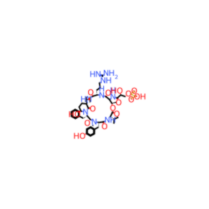 CC(C)[C@@H]1NC(=O)[C@H](Cc2ccc(O)cc2)N(C)C(=O)[C@H](Cc2ccccc2)N2C(=O)[C@H](CC[C@H]2O)NC(=O)[C@H](CCCNC(=N)N)NC(=O)[C@@H](NC(=O)[C@@H](O)COS(=O)(=O)O)[C@@H](C)OC1=O